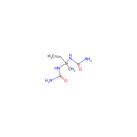 C=C[Si](C)(NC(N)=O)NC(N)=O